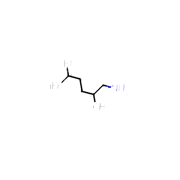 CCC(CCC(C)CN)C(C)C